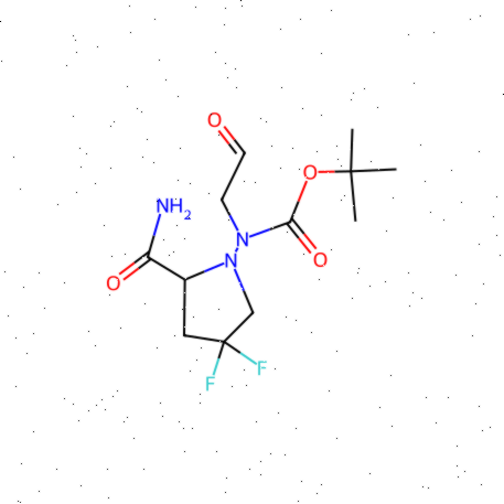 CC(C)(C)OC(=O)N(CC=O)N1CC(F)(F)CC1C(N)=O